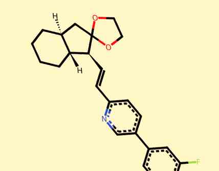 Fc1cccc(-c2ccc(/C=C/[C@H]3[C@@H]4CCCC[C@H]4CC34OCCO4)nc2)c1